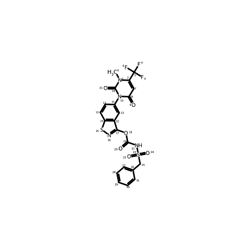 Cn1c(C(F)(F)F)cc(=O)n(-c2ccc3snc(OC(=O)NS(=O)(=O)Cc4ccccc4)c3c2)c1=O